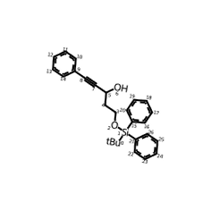 CC(C)(C)[Si](OCCC(O)C#Cc1ccccc1)(c1ccccc1)c1ccccc1